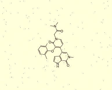 Cc1cccc(C)c1Oc1c(-c2cn(C)c(=O)c3[nH]ccc23)ccn(CC(=O)N(C)C)c1=O